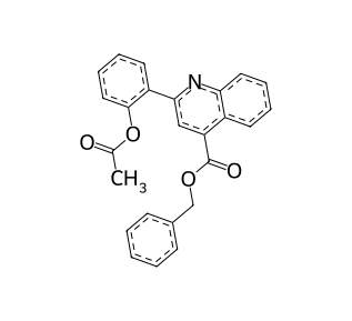 CC(=O)Oc1ccccc1-c1cc(C(=O)OCc2ccccc2)c2ccccc2n1